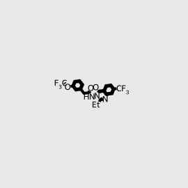 CCc1nc2cc(C(F)(F)F)ccc2c(=O)n1NC(=O)Cc1cccc(OC(F)(F)F)c1